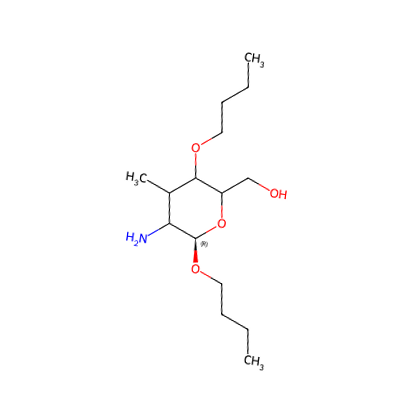 CCCCOC1C(CO)O[C@@H](OCCCC)C(N)C1C